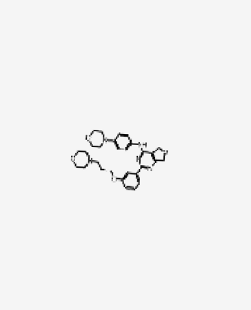 c1cc(OCCCN2CCOCC2)cc(-c2nc3c(c(Nc4ccc(N5CCOCC5)cc4)n2)COC3)c1